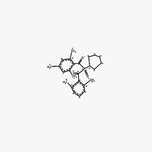 Cc1cc(C)c(C(=O)P(=O)(C(=O)c2c(C)cccc2C)C2CCCCC2)c(C)c1